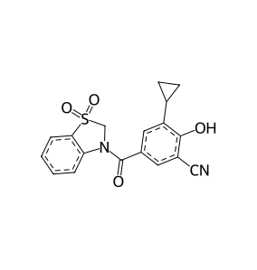 N#Cc1cc(C(=O)N2CS(=O)(=O)c3ccccc32)cc(C2CC2)c1O